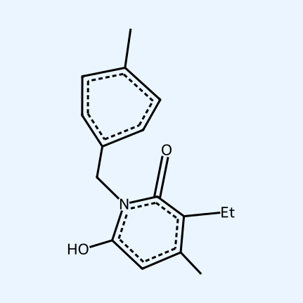 CCc1c(C)cc(O)n(Cc2ccc(C)cc2)c1=O